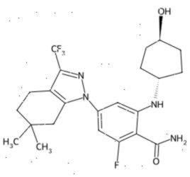 CC1(C)CCc2c(C(F)(F)F)nn(-c3cc(F)c(C(N)=O)c(N[C@H]4CC[C@H](O)CC4)c3)c2C1